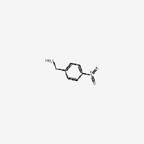 O=[SH](=O)c1ccc(CS(=O)(=O)O)cc1